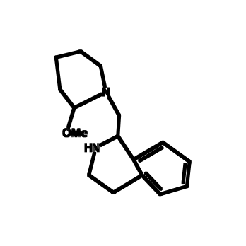 COC1CCCCN1CC1NCCc2ccccc21